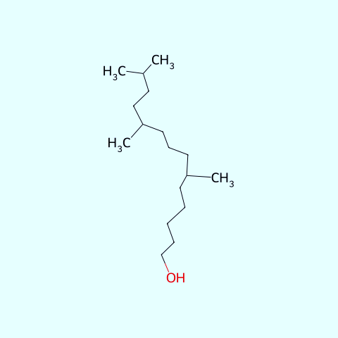 CC(C)CCC(C)CCCC(C)CCCCCO